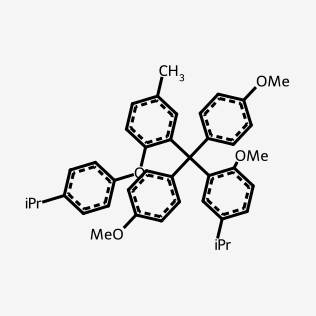 COc1ccc(C(c2ccc(OC)cc2)(c2cc(C(C)C)ccc2OC)c2cc(C)ccc2Oc2ccc(C(C)C)cc2)cc1